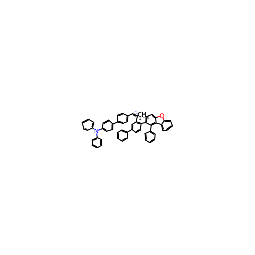 C/C(=C/c1ccc(-c2ccc(N(c3ccccc3)c3ccccc3)cc2)cc1)c1cc(-c2ccccc2)ccc1-c1c(C)cc2oc3ccccc3c2c1-c1ccccc1